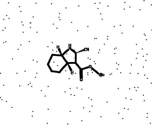 CC(C)(C)OC(=O)C1[C@@H](C#N)N[C@H]2CCCC[C@@H]12